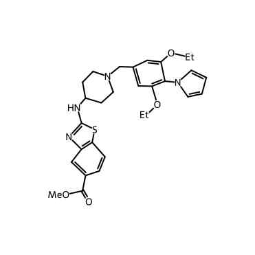 CCOc1cc(CN2CCC(Nc3nc4cc(C(=O)OC)ccc4s3)CC2)cc(OCC)c1-n1cccc1